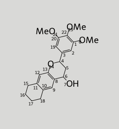 COc1cc(C2CC(O)c3cc4c(cc3O2)CCCC4)cc(OC)c1OC